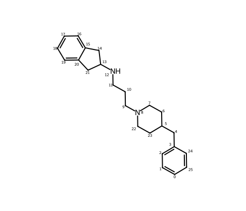 c1ccc(CC2CCN(CCCNC3Cc4ccccc4C3)CC2)cc1